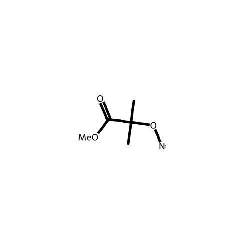 COC(=O)C(C)(C)O[N]